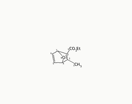 CCOC(=O)C1=C(C)C2C=CC1O2